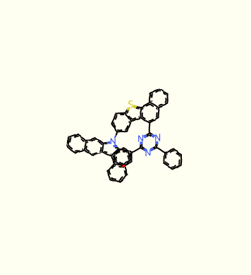 c1ccc(-c2nc(-c3ccccc3)nc(-c3cc4ccccc4c4sc5ccc(-n6c7cc8ccccc8cc7c7c8ccccc8ccc76)cc5c34)n2)cc1